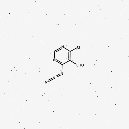 [N-]=[N+]=Nc1ncnc(Cl)c1C=O